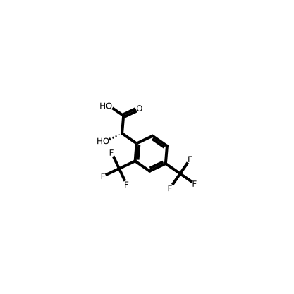 O=C(O)[C@@H](O)c1ccc(C(F)(F)F)cc1C(F)(F)F